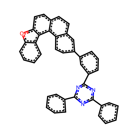 c1ccc(-c2nc(-c3ccccc3)nc(-c3cccc(-c4ccc5c(ccc6ccc7oc8ccccc8c7c65)c4)c3)n2)cc1